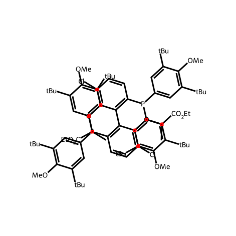 CCOC(=O)C(C)Oc1c(Cl)ccc(P(c2cc(C(C)(C)C)c(OC)c(C(C)(C)C)c2)c2cc(C(C)(C)C)c(OC)c(C(C)(C)C)c2)c1-c1c(P(c2cc(C(C)(C)C)c(OC)c(C(C)(C)C)c2)c2cc(C(C)(C)C)c(OC)c(C(C)(C)C)c2)ccc(Cl)c1OC(C)C(=O)OCC